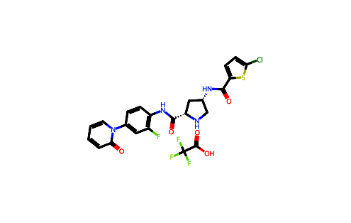 O=C(N[C@@H]1CN[C@H](C(=O)Nc2ccc(-n3ccccc3=O)cc2F)C1)c1ccc(Cl)s1.O=C(O)C(F)(F)F